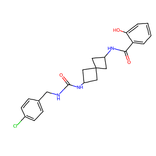 O=C(NCc1ccc(Cl)cc1)NC1CC2(C1)CC(NC(=O)c1ccccc1O)C2